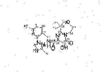 Cc1ncn(-c2cc(F)ccc2CNC(=O)c2nc3n(c(=O)c2O)CCOCC3(C)C)n1